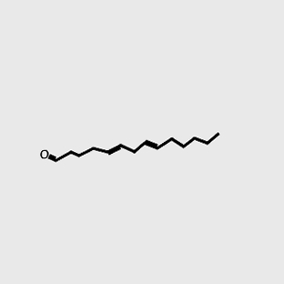 CCCCCC=CCC=CCCCC=O